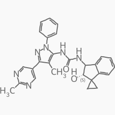 Cc1ncc(-c2nn(-c3ccccc3)c(NC(=O)NC3c4ccccc4C4(CC4)[C@@H]3O)c2C)cn1